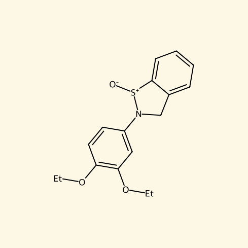 CCOc1ccc(N2Cc3ccccc3[S+]2[O-])cc1OCC